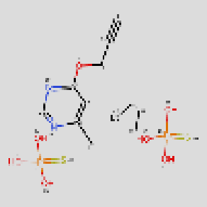 C#CCOc1cc(C)ncn1.CC.CCC.OP(O)(O)=S.OP(O)(O)=S